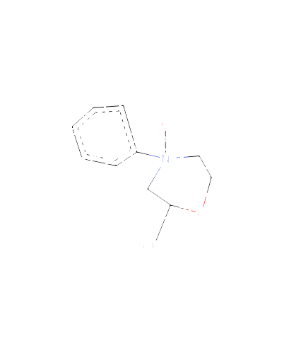 CCCC1C[N+]([O-])(c2ccccc2)CCO1